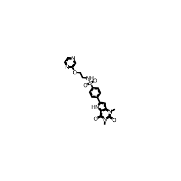 Cn1c(=O)c2[nH]c(-c3ccc(S(=O)(=O)NCCOc4cnccn4)cc3)cc2n(C)c1=O